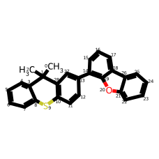 CC1(C)c2ccccc2Sc2ccc(-c3cccc4c3oc3ccccc34)cc21